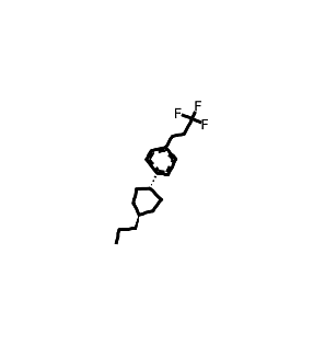 CCC[C@H]1CC[C@H](c2ccc(CCC(F)(F)F)cc2)CC1